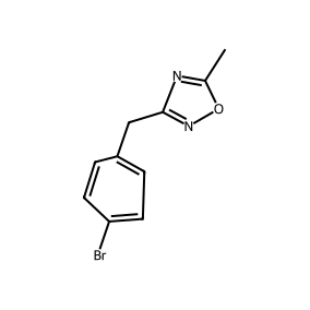 Cc1nc(Cc2ccc(Br)cc2)no1